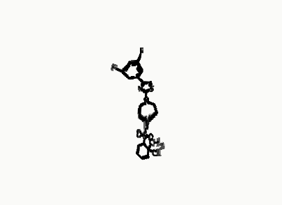 CC1(Cl)C=CC=CC1S(=O)(=O)N1CCN(c2nc(-c3cc(F)cc(F)c3)cs2)CC1